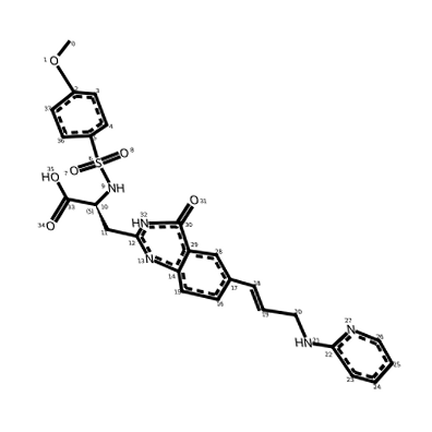 COc1ccc(S(=O)(=O)N[C@@H](Cc2nc3ccc(C=CCNc4ccccn4)cc3c(=O)[nH]2)C(=O)O)cc1